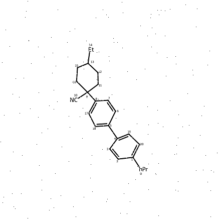 CCCc1ccc(-c2ccc(C3(C#N)CCC(CC)CC3)cc2)cc1